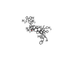 CC(C)C1=C2[C@H]3CC[C@@H]4[C@@]5(C)CC[C@H](OC(=O)CC(C)(C)C(=O)O)C(C)(C)[C@H]5CC[C@@]4(C)[C@]3(C)CC[C@@]2([C@@H](O)CN(CC2CC2)C(=O)CN2CCCC2)CC1=O